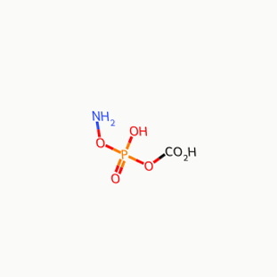 NOP(=O)(O)OC(=O)O